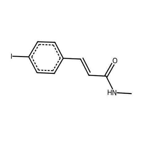 CNC(=O)/C=C/c1ccc(I)cc1